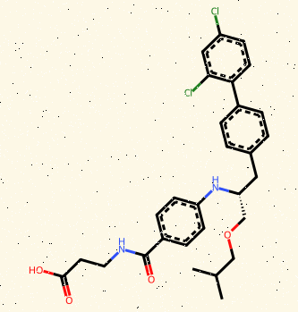 CC(C)COC[C@@H](Cc1ccc(-c2ccc(Cl)cc2Cl)cc1)Nc1ccc(C(=O)NCCC(=O)O)cc1